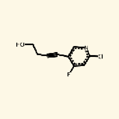 OCCC#Cc1cnc(Cl)cc1F